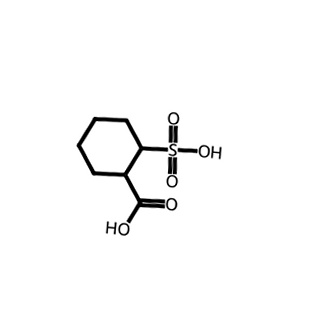 O=C(O)C1CCCCC1S(=O)(=O)O